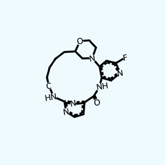 O=C1Nc2cnc(F)cc2N2CCOC(CCCCCNc3nccc1n3)C2